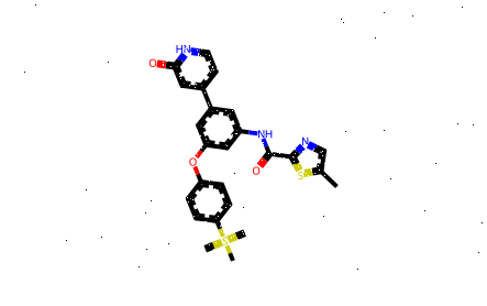 C=S(=C)(C)c1ccc(Oc2cc(NC(=O)c3ncc(C)s3)cc(-c3cc[nH]c(=O)c3)c2)cc1